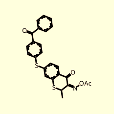 CC(=O)O/N=C1\C(=O)c2ccc(Sc3ccc(C(=O)c4ccccc4)cc3)cc2SC1C